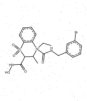 CC[N+]1(C(=O)NCc2cccc(Br)c2)c2ccccc2S(=O)(=O)C(C(=O)NO)C1C